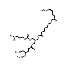 CCCCC/C=C\CCC(C)CCCCCCCC(=O)OC[C@@H](COC(=O)CCC(OCCCCCCCC)OCCCCCCCC)COC(=O)OCCCN(CC)CC